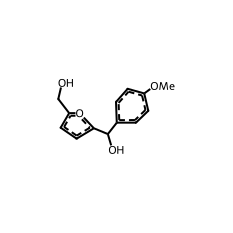 COc1ccc(C(O)c2ccc(CO)o2)cc1